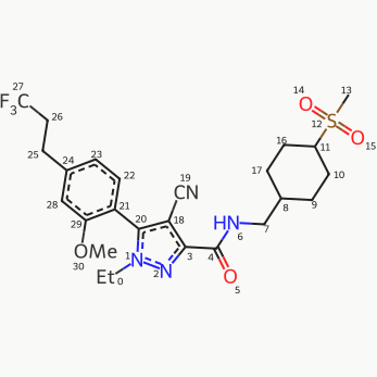 CCn1nc(C(=O)NCC2CCC(S(C)(=O)=O)CC2)c(C#N)c1-c1ccc(CCC(F)(F)F)cc1OC